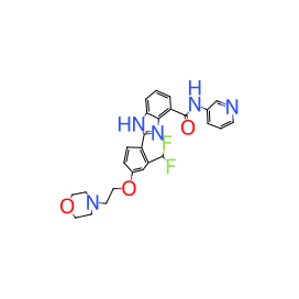 O=C(Nc1cccnc1)c1cccc2[nH]c(-c3ccc(OCCN4CCOCC4)cc3C(F)F)nc12